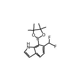 CC1(C)OB(c2c(C(F)F)ccc3cc[nH]c23)OC1(C)C